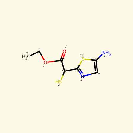 CCOC(=O)C(S)c1ncc(N)s1